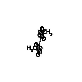 CC(CN1C(=O)C=CC1=O)OC(=O)CCCCC(=O)OCC(C)N1C(=O)C=CC1=O